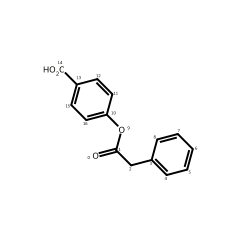 O=C(Cc1ccccc1)Oc1ccc(C(=O)O)cc1